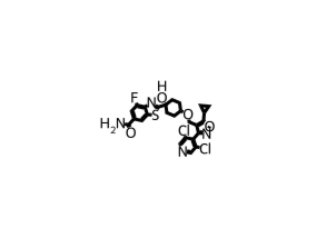 NC(=O)c1cc(F)c2nc(C3(O)CCC(OCc4c(-c5c(Cl)cncc5Cl)noc4C4CC4)CC3)sc2c1